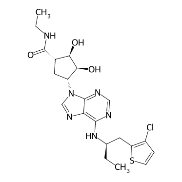 CCNC(=O)[C@H]1C[C@@H](n2cnc3c(N[C@H](CC)Cc4sccc4Cl)ncnc32)[C@H](O)[C@@H]1O